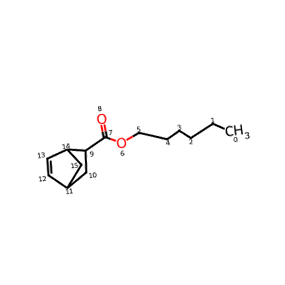 CCCCCCOC(=O)C1CC2C=CC1C2